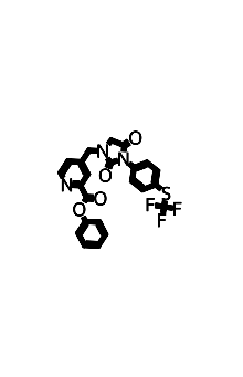 O=C(Oc1ccccc1)c1cc(CN2CC(=O)N(c3ccc(SC(F)(F)F)cc3)C2=O)ccn1